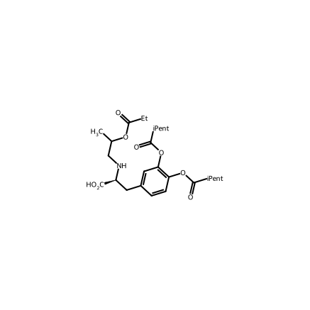 CCCC(C)C(=O)Oc1ccc(C[C@H](NCC(C)OC(=O)CC)C(=O)O)cc1OC(=O)C(C)CCC